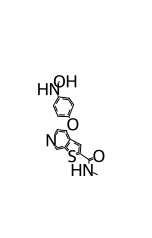 CNC(=O)c1cc2c(Oc3ccc(NO)cc3)cncc2s1